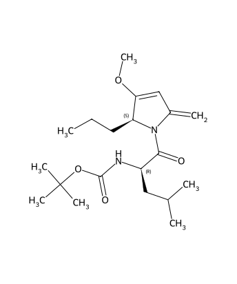 C=C1C=C(OC)[C@H](CCC)N1C(=O)[C@@H](CC(C)C)NC(=O)OC(C)(C)C